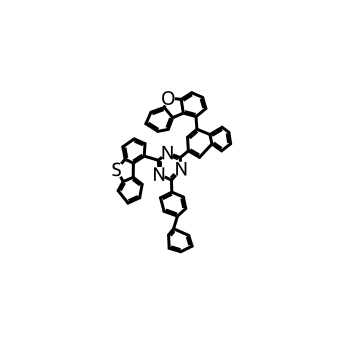 c1ccc(-c2ccc(-c3nc(-c4cc(-c5cccc6oc7ccccc7c56)c5ccccc5c4)nc(-c4cccc5sc6ccccc6c45)n3)cc2)cc1